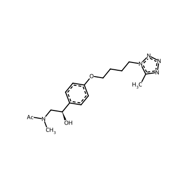 CC(=O)N(C)C[C@H](O)c1ccc(OCCCCn2nnnc2C)cc1